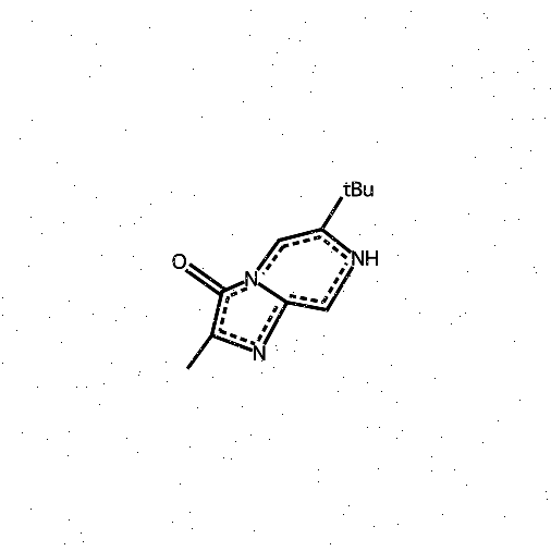 Cc1nc2c[nH]c(C(C)(C)C)cn-2c1=O